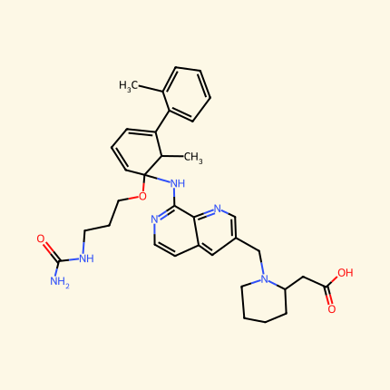 Cc1ccccc1C1=CC=CC(Nc2nccc3cc(CN4CCCCC4CC(=O)O)cnc23)(OCCCNC(N)=O)C1C